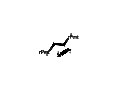 CCCCCCCCCCCC.[Se]=[Se]